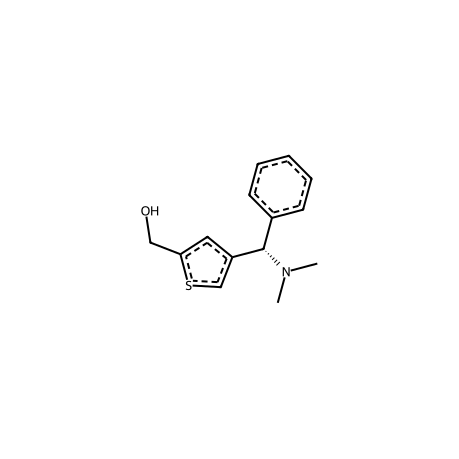 CN(C)[C@@H](c1ccccc1)c1csc(CO)c1